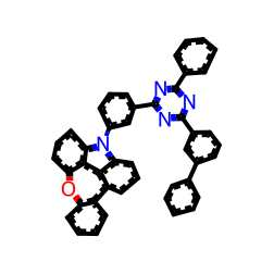 c1ccc(-c2cccc(-c3nc(-c4ccccc4)nc(-c4cccc(-n5c6cccc7oc8ccccc8c8cccc5c8c76)c4)n3)c2)cc1